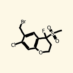 CS(=O)(=O)C1(F)CCOc2cc(Cl)c(CBr)cc21